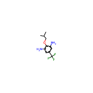 CC(C)COc1c(N)cc(C(F)(F)F)cc1N